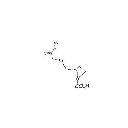 CC(C)(C)OC(=O)COCC1CCN1C(=O)O